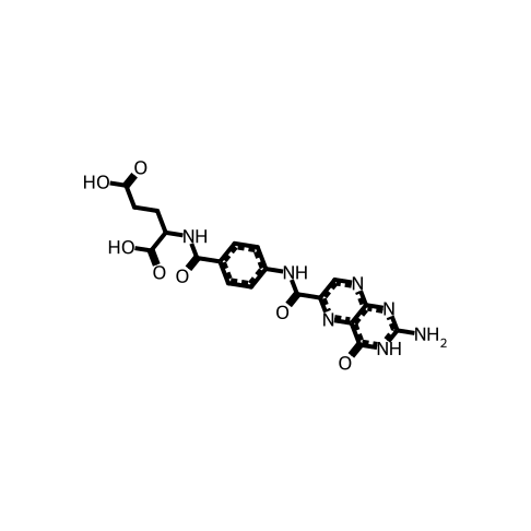 Nc1nc2ncc(C(=O)Nc3ccc(C(=O)NC(CCC(=O)O)C(=O)O)cc3)nc2c(=O)[nH]1